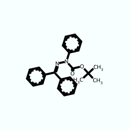 CC(C)(C)OC(=O)N(N=C(c1ccccc1)c1ccccc1)c1ccccc1